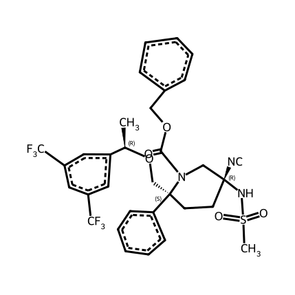 [C-]#[N+][C@@]1(NS(C)(=O)=O)CC[C@@](CO[C@H](C)c2cc(C(F)(F)F)cc(C(F)(F)F)c2)(c2ccccc2)N(C(=O)OCc2ccccc2)C1